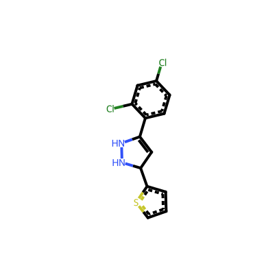 Clc1ccc(C2=CC(c3cccs3)NN2)c(Cl)c1